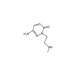 CNCCn1nc(N)ccc1=O